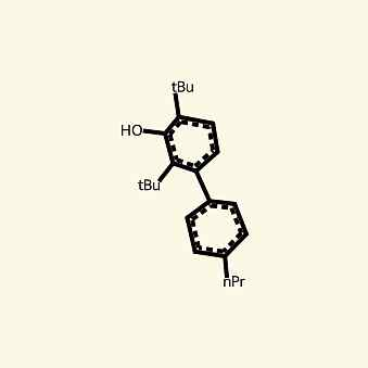 CCCc1ccc(-c2ccc(C(C)(C)C)c(O)c2C(C)(C)C)cc1